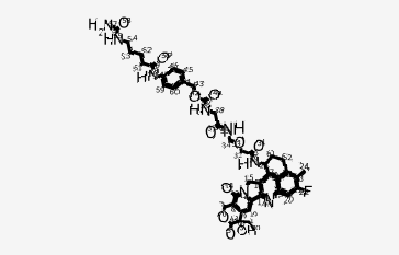 CC[C@@]1(O)C(=O)OCc2c1cc1n(c2=O)Cc2c-1nc1cc(F)c(C)c3c1c2C(NC(=O)COCNC(=O)CNC(=O)OCc1ccc(NC(=O)CCCCNC(N)=O)cc1)CC3